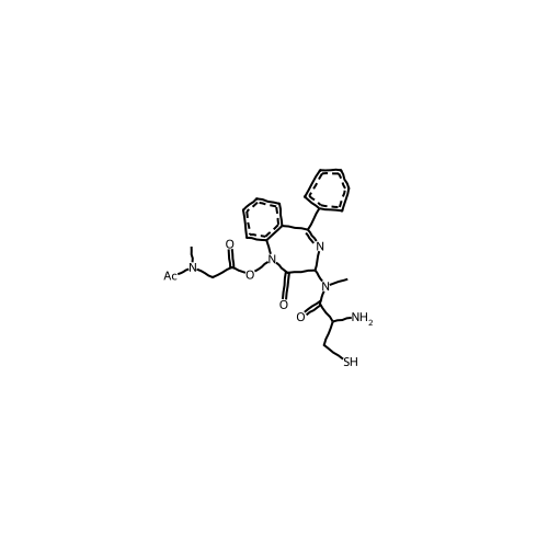 CC(=O)N(C)CC(=O)ON1C(=O)C(N(C)C(=O)C(N)CS)N=C(c2ccccc2)c2ccccc21